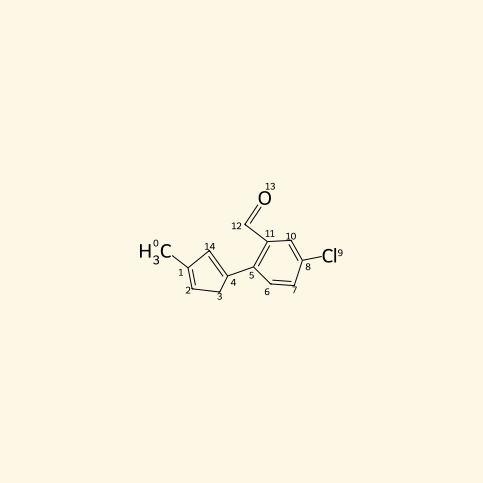 CC1=CCC(c2ccc(Cl)cc2C=O)=C1